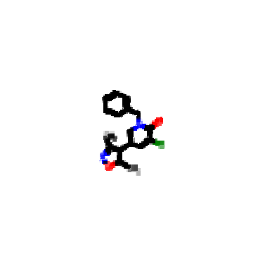 Cc1noc(C)c1-c1cc(Cl)c(=O)n(Cc2ccccc2)c1